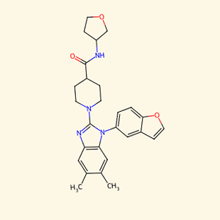 Cc1cc2nc(N3CCC(C(=O)NC4CCOC4)CC3)n(-c3ccc4occc4c3)c2cc1C